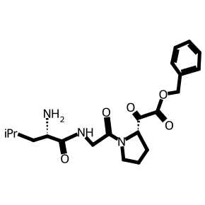 CC(C)C[C@H](N)C(=O)NCC(=O)N1CCC[C@H]1C(=O)C(=O)OCc1ccccc1